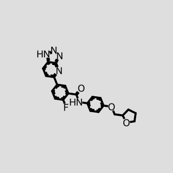 O=C(Nc1ccc(OCC2CCCO2)cc1)c1cc(-c2ccc3[nH]nnc3n2)ccc1F